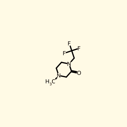 CN1CCN(CC(F)(F)F)C(=O)C1